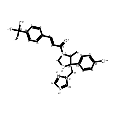 CC1N(C(=O)C=Cc2ccc(C(F)(F)F)cc2)CO[C@@]1(Cn1cncn1)c1ccc(Cl)cc1